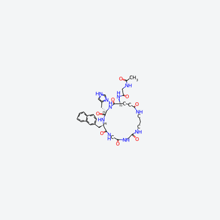 CC(=O)NCC(=O)N[C@H]1CCC(=O)NCCCNC(=O)CNC(=O)CNC(=O)[C@@H](Cc2ccc3ccccc3c2)NC(=O)[C@H](Cc2c[nH]cn2)NC1=O